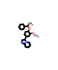 COc1cc(-c2cnc3ccccn23)ccc1OC(C)c1ccccc1